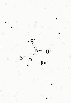 O=[N+]([O-])[O-].[Na+].[S-2]